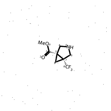 COC(=O)[C@]12CNC[C@@]1(C(F)(F)F)C2